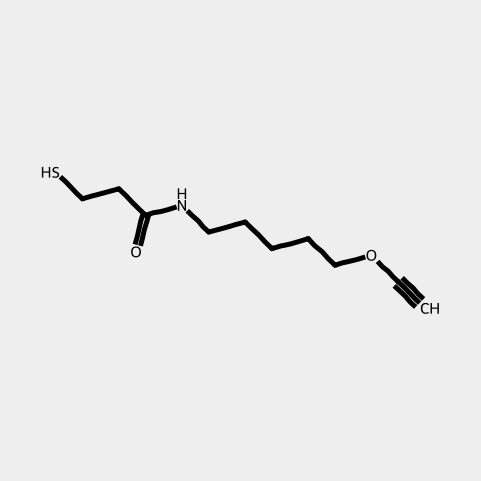 C#COCCCCCNC(=O)CCS